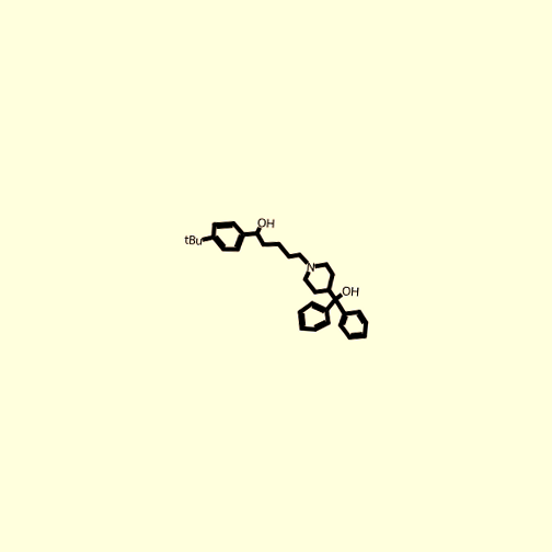 CC(C)(C)c1ccc(C(O)CCCCN2CCC(C(O)(c3ccccc3)c3ccccc3)CC2)cc1